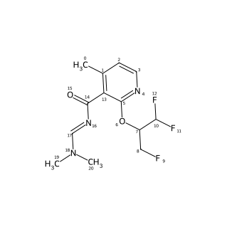 Cc1ccnc(OC(CF)C(F)F)c1C(=O)N=CN(C)C